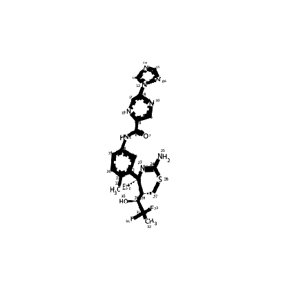 CC[C@]1(c2cc(NC(=O)c3cnc(-n4cncn4)cn3)ccc2C)N=C(N)SC[C@@H]1[C@H](O)C(C)(F)F